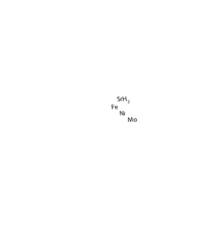 [Fe].[Mo].[Ni].[SrH2]